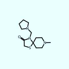 CN1CCC2(CC1)SCC(=O)N2CN1CCCC1